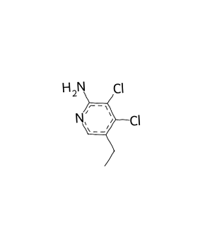 CCc1cnc(N)c(Cl)c1Cl